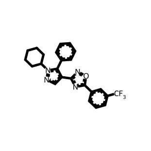 FC(F)(F)c1cccc(-c2nc(-c3cnn(C4CCCCC4)c3-c3ccccc3)no2)c1